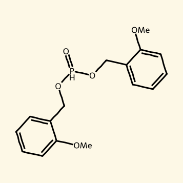 COc1ccccc1CO[PH](=O)OCc1ccccc1OC